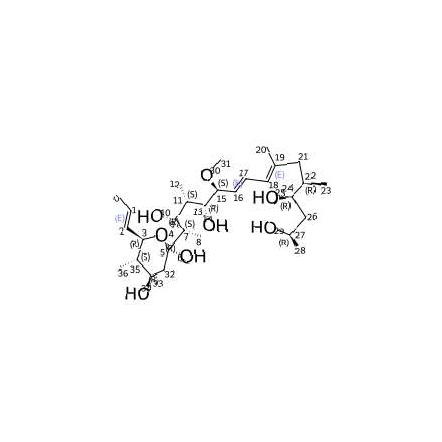 C/C=C/[C@H]1O[C@@](O)([C@@H](C)[C@H](O)[C@H](C)[C@@H](O)[C@H](/C=C/C=C(\C)C[C@@H](C)[C@H](O)C[C@@H](C)O)OC)C[C@@H](O)[C@@H]1C